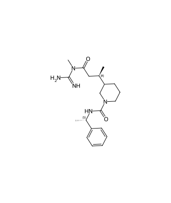 C[C@H](NC(=O)N1CCCC([C@H](C)CC(=O)N(C)C(=N)N)C1)c1ccccc1